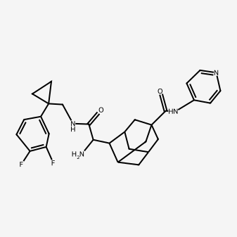 NC(C(=O)NCC1(c2ccc(F)c(F)c2)CC1)C1C2CC3CC1CC(C(=O)Nc1ccncc1)(C3)C2